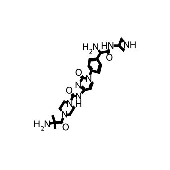 CC(C)(N)C(=O)N1CCN(C(=O)Nc2ccn(-c3ccc(C(N)C(=O)NC4CNC4)cc3)c(=O)n2)CC1